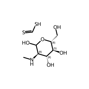 CN[C@H]1C(O)O[C@H](CO)[C@@H](O)[C@@H]1O.S=CS